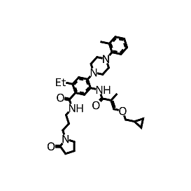 CCc1cc(N2CCN(c3ccccc3C)CC2)c(NC(=O)/C(C)=C/OCC2CC2)cc1C(=O)NCCCN1CCCC1=O